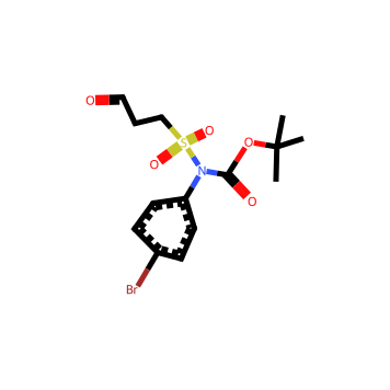 CC(C)(C)OC(=O)N(c1ccc(Br)cc1)S(=O)(=O)CCC=O